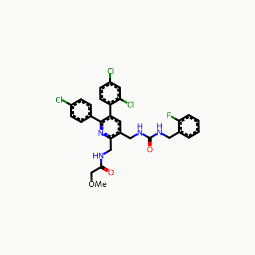 COCC(=O)NCc1nc(-c2ccc(Cl)cc2)c(-c2ccc(Cl)cc2Cl)cc1CNC(=O)NCc1ccccc1F